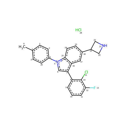 Cc1ccc(-n2cc(-c3cccc(F)c3Cl)c3cc(C4CNC4)ccc32)cc1.Cl